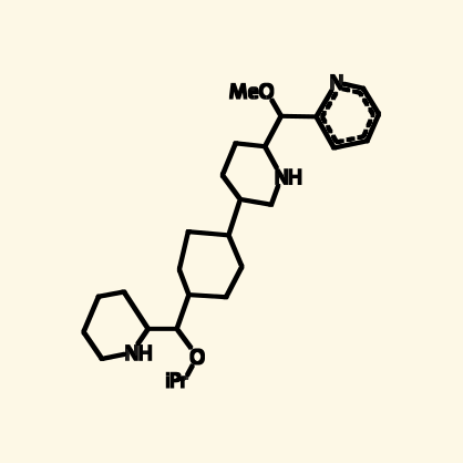 COC(c1ccccn1)C1CCC(C2CCC(C(OC(C)C)C3CCCCN3)CC2)CN1